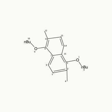 CCCCOc1c(C)ccc2c(OCCCC)c(C)ccc12